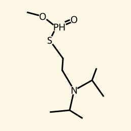 CO[PH](=O)SCCN(C(C)C)C(C)C